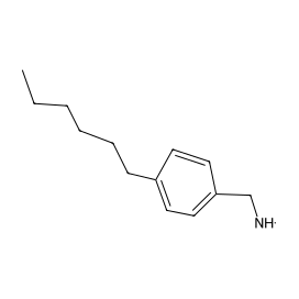 CCCCCCc1ccc(C[NH])cc1